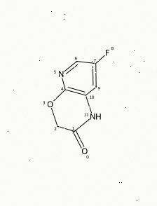 O=C1COc2ncc(F)cc2N1